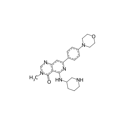 Cn1cnc2cc(-c3ccc(N4CCOCC4)cc3)nc(NC3CCCNC3)c2c1=O